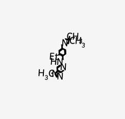 CCc1cc(CN2CC(C)(C)C2)ccc1CNc1cc2c(cn1)ncn2C